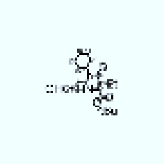 CC[C@@H](C(=N)C(=O)OC(C)(C)C)C(=O)N(CCCC=O)C1CCCCC1